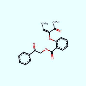 CO/C=C(/Oc1ccccc1C(=O)OCC(=O)c1ccccc1)C(=O)OC